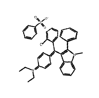 CC[N+](CC)=C1C=CC(=C(c2ccccc2Cl)c2c(-c3ccccc3)n(C)c3ccccc23)C=C1.O=S(=O)([O-])c1ccccc1